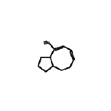 CC(C)(C)/C1=C/C=C\CCC2CCC[C]12